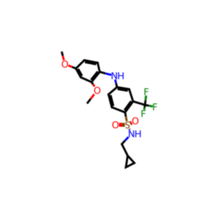 COc1ccc(Nc2ccc(S(=O)(=O)NCC3CC3)c(C(F)(F)F)c2)c(OC)c1